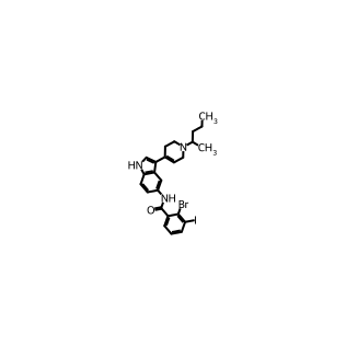 CCCC(C)N1CC=C(c2c[nH]c3ccc(NC(=O)c4cccc(I)c4Br)cc23)CC1